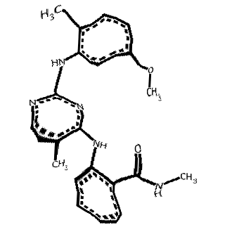 CNC(=O)c1ccccc1Nc1nc(Nc2cc(OC)ccc2C)ncc1C